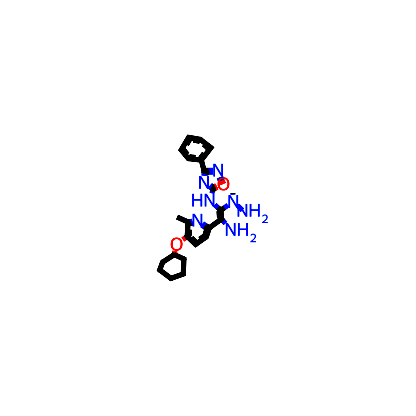 Cc1nc(/C(N)=C(\Nc2nc(-c3ccccc3)no2)N(C)N)ccc1OC1CCCCC1